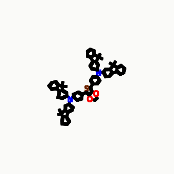 CC1(C)c2ccccc2-c2ccc(N(c3ccc(-c4sc(-c5ccc(N(c6ccc7c(c6)C(C)(C)c6ccccc6-7)c6ccc7c(c6)C(C)(C)c6ccccc6-7)cc5)c5c4OCCO5)cc3)c3ccc4c(c3)C(C)(C)c3ccccc3-4)cc21